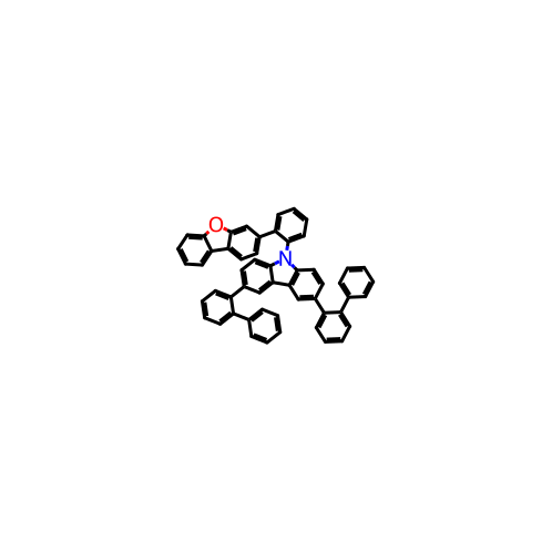 c1ccc(-c2ccccc2-c2ccc3c(c2)c2cc(-c4ccccc4-c4ccccc4)ccc2n3-c2ccccc2-c2ccc3c(c2)oc2ccccc23)cc1